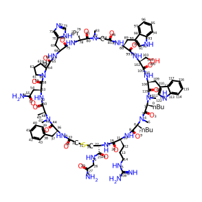 CCCC[C@H]1C(=O)N(C)[C@@H](CCCC)C(=O)N[C@@H](CCCNC(=N)N)C(=O)N[C@H](C(=O)NCC(N)=O)CSCC(=O)N[C@@H](Cc2ccccc2)C(=O)N(C)[C@@H](C)C(=O)N[C@@H](CC(N)=O)C(=O)N2CCC[C@H]2C(=O)N[C@@H](Cc2cnc[nH]2)C(=O)N[C@@H](C(C)C)C(=O)N(C)CC(=O)N[C@@H](Cc2c[nH]c3ccccc23)C(=O)N[C@@H](CO)C(=O)N[C@@H](Cc2c[nH]c3ccccc23)C(=O)N1C